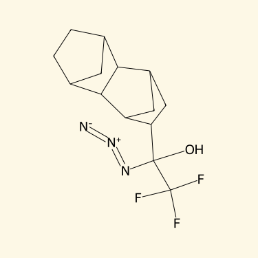 [N-]=[N+]=NC(O)(C1CC2CC1C1C3CCC(C3)C21)C(F)(F)F